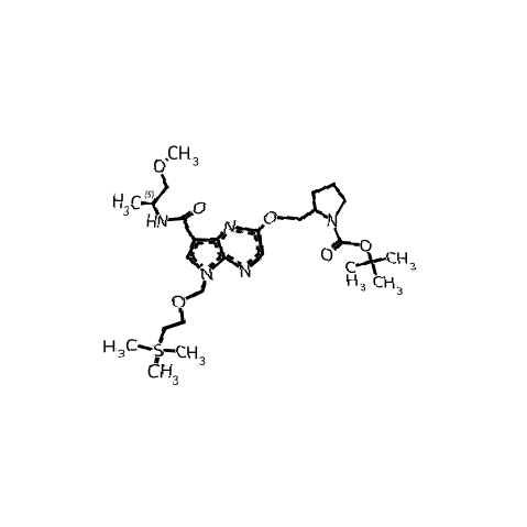 COC[C@H](C)NC(=O)c1cn(COCCS(C)(C)C)c2ncc(OCC3CCCN3C(=O)OC(C)(C)C)nc12